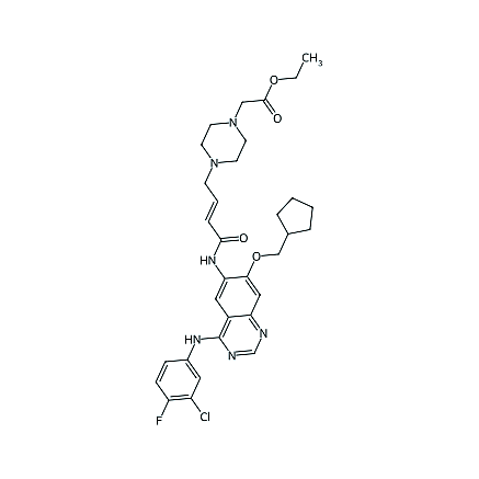 CCOC(=O)CN1CCN(CC=CC(=O)Nc2cc3c(Nc4ccc(F)c(Cl)c4)ncnc3cc2OCC2CCCC2)CC1